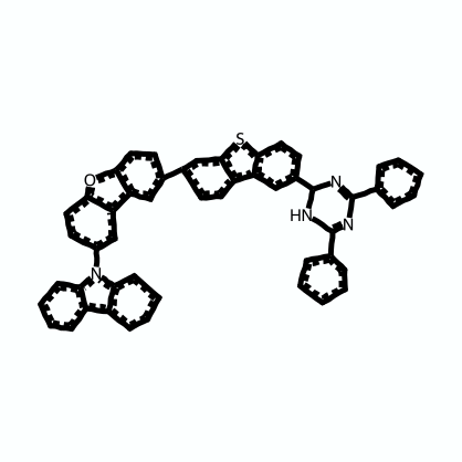 c1ccc(C2=NC(c3ccc4sc5cc(-c6ccc7oc8ccc(-n9c%10ccccc%10c%10ccccc%109)cc8c7c6)ccc5c4c3)NC(c3ccccc3)=N2)cc1